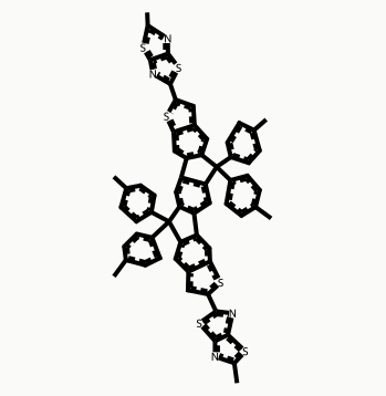 Cc1ccc(C2(c3ccc(C)cc3)c3cc4c(cc3-c3cc5sc(-c6nc7sc(C)nc7s6)cc5cc32)C(c2ccc(C)cc2)(c2ccc(C)cc2)c2cc3cc(-c5nc6sc(C)nc6s5)sc3cc2-4)cc1